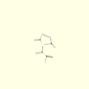 C=C(C(N)=O)N1C(=O)C=CC1=O